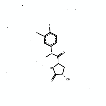 CN(C(=O)[C@@H]1C[C@H](O)C(=O)N1)c1ccc(F)c(Cl)c1